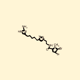 Cn1c(C(=O)NCCn2cc(CCCCCc3c[nH]c(N)n3)nn2)cc(Br)c1Br